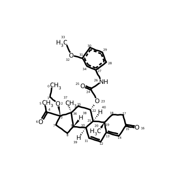 CCO[C@]1(C(C)=O)CC[C@H]2[C@@H]3C=CC4=CC(=O)CC[C@@]4(C)[C@@H]3[C@@H](OC(=O)Nc3cccc(OC)c3)C[C@@]21C